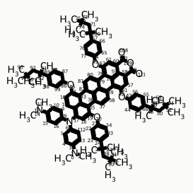 CN(C)c1ccc(N(c2ccc(N(C)C)cc2)c2cc(Oc3ccc(C(C)(C)CC(C)(C)C)cc3)c3c4ccc5c6c(Oc7ccc(C(C)(C)CC(C)(C)C)cc7)cc7c8c(cc(Oc9ccc(C(C)(C)CC(C)(C)C)cc9)c(c9ccc(c%10c(Oc%11ccc(C(C)(C)CC(C)(C)C)cc%11)ccc2c%103)c4c95)c86)C(=O)OC7=O)cc1